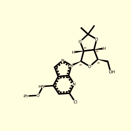 CC(C)ONc1cc(Cl)nc2c1cnn2[C@@H]1O[C@H](CO)[C@H]2OC(C)(C)O[C@H]21